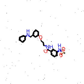 CS(=O)(=O)Nc1cccc(C(=O)NCCCOc2cccc(CNc3ccccc3)c2)c1